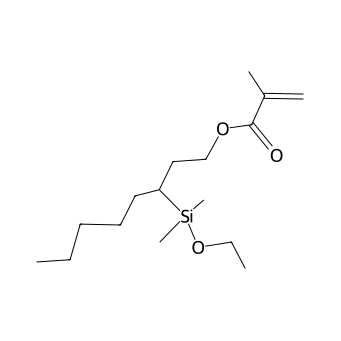 C=C(C)C(=O)OCCC(CCCCC)[Si](C)(C)OCC